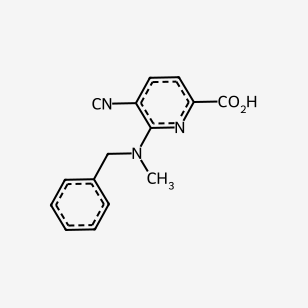 [C-]#[N+]c1ccc(C(=O)O)nc1N(C)Cc1ccccc1